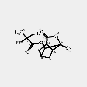 CCC(C)(C)C(=O)OC1C2CC3C(=O)OC1(C#N)C3C2